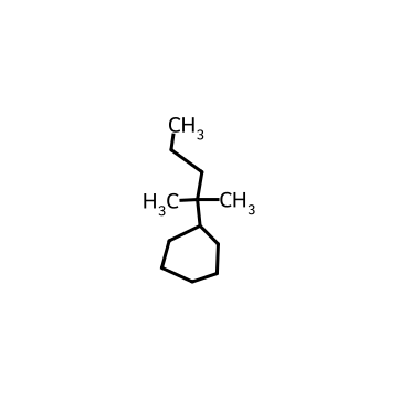 CCCC(C)(C)C1CCCCC1